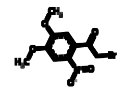 COc1cc(C(=O)CBr)c([N+](=O)[O-])cc1OC